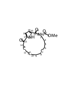 COC(=O)[C@@H]1CCCCCCCCCCCC(=O)c2ccc([nH]2)C(=O)N1